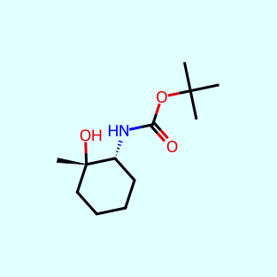 CC(C)(C)OC(=O)N[C@@H]1CCCC[C@]1(C)O